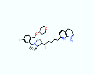 O=C(O)[C@@H](c1cc(F)ccc1COC1CCOCC1)N1CCC([C@H](F)CCCCc2ccc3c(n2)NCCC3)C1